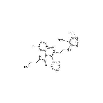 N#Cc1c(N)ncnc1NCCc1nc2ccc(F)cc2c(C(=O)NCCO)c1-c1ccccn1